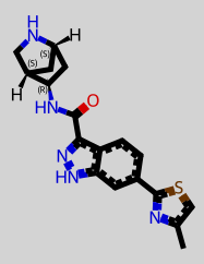 Cc1csc(-c2ccc3c(C(=O)N[C@@H]4C[C@@H]5C[C@H]4CN5)n[nH]c3c2)n1